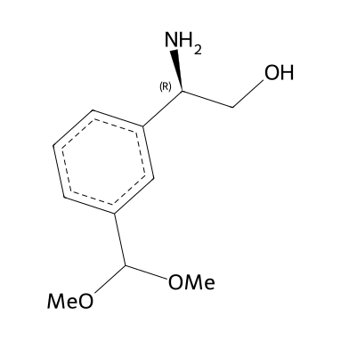 COC(OC)c1cccc([C@@H](N)CO)c1